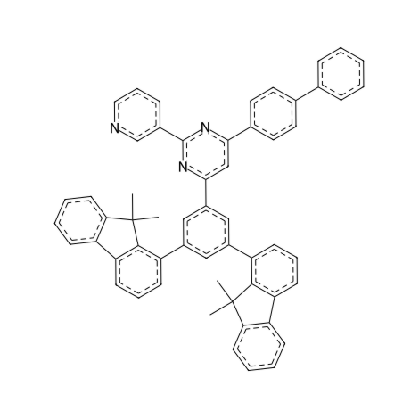 CC1(C)c2ccccc2-c2cccc(-c3cc(-c4cc(-c5ccc(-c6ccccc6)cc5)nc(-c5cccnc5)n4)cc(-c4cccc5c4C(C)(C)c4ccccc4-5)c3)c21